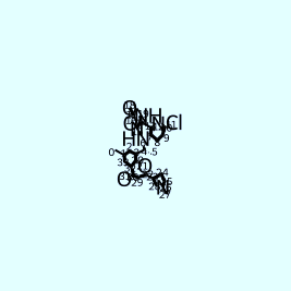 Cc1cc([C@@H](C)Nc2ccc(Cl)nc2-c2noc(=O)[nH]2)c2oc(-c3ccn(C)c3)cc(=O)c2c1